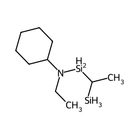 CCN([SiH2]C(C)[SiH3])C1CCCCC1